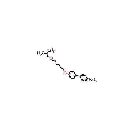 C=C(C)COCCCCCCOc1ccc(-c2ccc([N+](=O)[O-])cc2)cc1